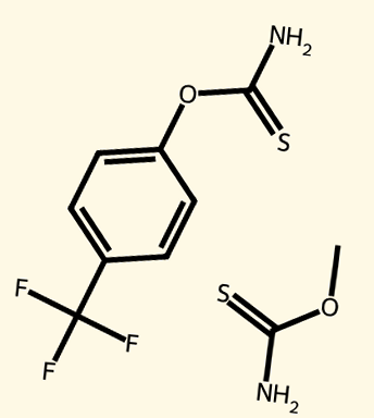 COC(N)=S.NC(=S)Oc1ccc(C(F)(F)F)cc1